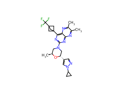 Cc1nc2nc(N3C[C@H](C)O[C@@H](c4cnn(C5CC5)c4)C3)nc(C34CC(C(F)(F)F)(C3)C4)c2nc1C